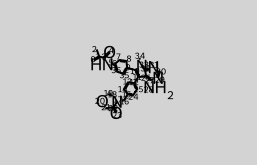 C=C(C)C(=O)Nc1ccc(-c2c(-c3ccc(CN4CCOCC4=O)cc3)c3c(N)ncnc3n2C)cc1